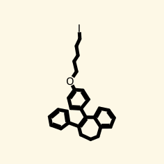 ICCCCCOc1ccc(C2=C(c3ccccc3)CCCc3ccccc32)cc1